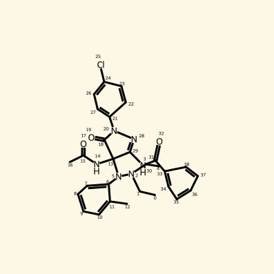 CCN(CC)N(c1ccccc1C)C1(NC(C)=O)C(=O)N(c2ccc(Cl)cc2)N=C1NC(=O)c1ccccc1